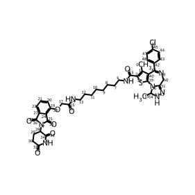 Cc1c(C(=O)NCCCCCCCCNC(=O)COc2cccc3c2C(=O)N(C2CCC(=O)NC2=O)C3=O)sc2c1C(c1ccc(Cl)cc1)=NCC1=NNC(C)N12